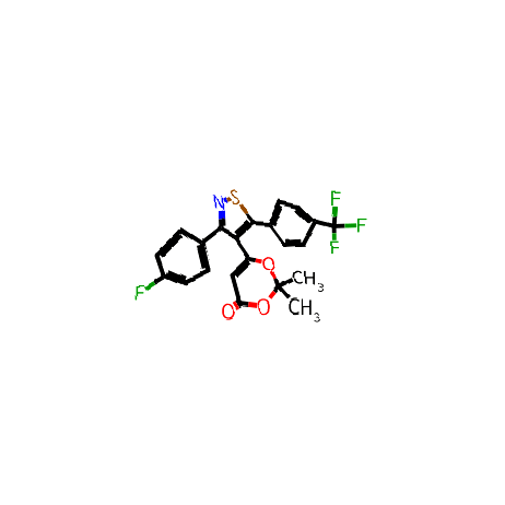 CC1(C)OC(=O)C=C(c2c(-c3ccc(F)cc3)nsc2-c2ccc(C(F)(F)F)cc2)O1